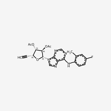 C#C[C@H]1O[C@@H](n2cnc3c(Nc4ccc(F)cc4C)ncnc32)[C@H](OC(C)=O)[C@H]1OC(C)=O